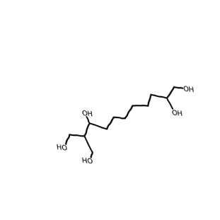 OCC(O)CCCCCCC(O)C(CO)CO